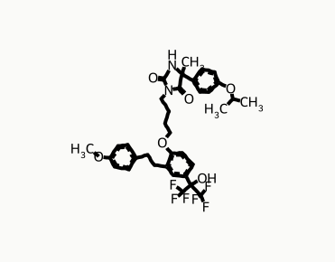 COc1ccc(CCc2cc(C(O)(C(F)(F)F)C(F)(F)F)ccc2OCCCCN2C(=O)NC(C)(c3ccc(OC(C)C)cc3)C2=O)cc1